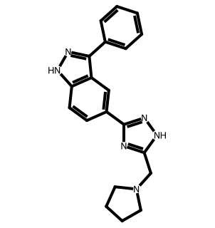 c1ccc(-c2n[nH]c3ccc(-c4n[nH]c(CN5CCCC5)n4)cc23)cc1